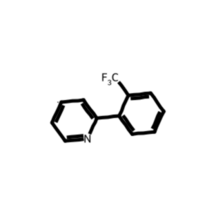 FC(F)(F)c1ccccc1-c1c[c]ccn1